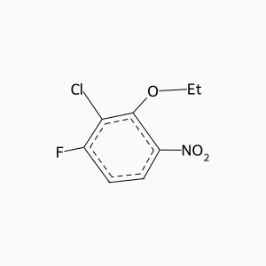 CCOc1c([N+](=O)[O-])ccc(F)c1Cl